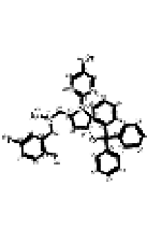 CCCc1cnc(N2C[C@H](SC(c3ccccc3)(c3ccccc3)c3ccccc3)C[C@H]2CN(Cc2cc(F)ccc2F)C(C)=O)nc1